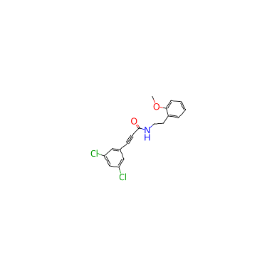 COc1ccccc1CCNC(=O)C#Cc1cc(Cl)cc(Cl)c1